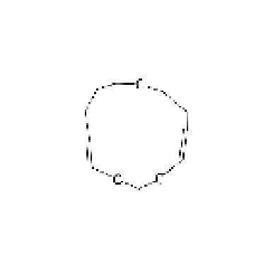 [CH]1CC=CCCCCCCC=CC1